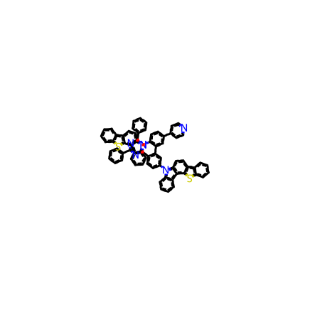 c1ccc(-c2nc(-c3ccccc3)nc(-c3ccc(-n4c5ccccc5c5c6sc7ccccc7c6ccc54)cc3-c3cc(-c4ccncc4)ccc3-n3c4ccccc4c4c5sc6ccccc6c5ccc43)n2)cc1